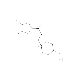 CCC1CCC(C)(CCC(C)C2CC(F)C(F)C2)CC1